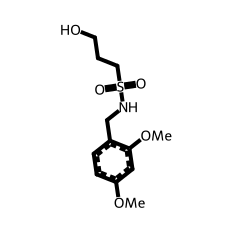 COc1ccc(CNS(=O)(=O)CCCO)c(OC)c1